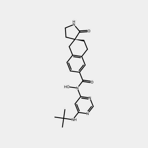 CC(C)(C)Nc1cc(N(O)C(=O)c2ccc3c(c2)CC[C@]2(CCNC2=O)C3)ncn1